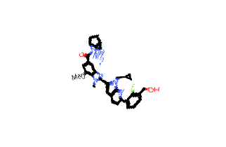 COc1cc(C(=O)N2CC3CCC2C3N)cc2nc(-c3cc4ccc(-c5cccc(CO)c5F)nc4n3CC3CC3)n(C)c12